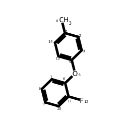 Cc1ccc(Oc2c[c]ccc2F)cc1